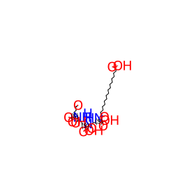 O=CCC[C@H](NC(=O)CC[C@H](NC(=O)CC[C@H](NC(=O)CCCCCCCCCCCCCCCCC(=O)O)C(=O)O)C(=O)O)C(=O)O